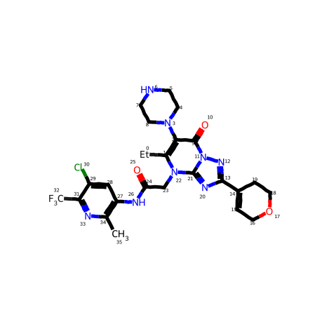 CCc1c(N2CCNCC2)c(=O)n2nc(C3=CCOCC3)nc2n1CC(=O)Nc1cc(Cl)c(C(F)(F)F)nc1C